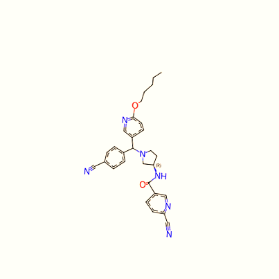 CCCCCOc1ccc(C(c2ccc(C#N)cc2)N2CC[C@@H](NC(=O)c3ccc(C#N)nc3)C2)cn1